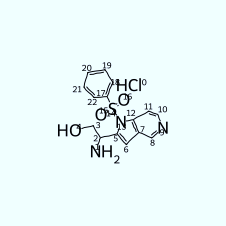 Cl.NC(CO)c1cc2cnccc2n1S(=O)(=O)c1ccccc1